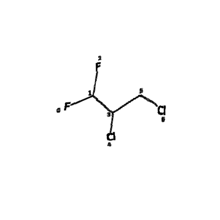 FC(F)C(Cl)CCl